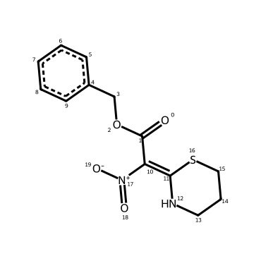 O=C(OCc1ccccc1)C(=C1NCCCS1)[N+](=O)[O-]